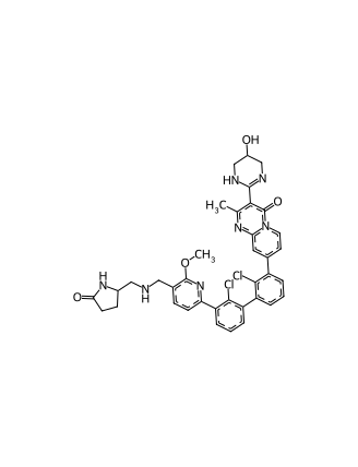 COc1nc(-c2cccc(-c3cccc(-c4ccn5c(=O)c(C6=NCC(O)CN6)c(C)nc5c4)c3Cl)c2Cl)ccc1CNCC1CCC(=O)N1